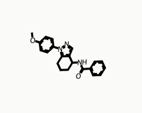 COc1ccc(-n2ncc3c2CCCC3NC(=O)c2ccccc2)cc1